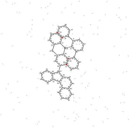 c1ccc(-c2cccc(-c3ccccc3)c2B2c3ccccc3Sc3cc(-n4c5ccccc5c5c6ccccc6ccc54)ccc32)cc1